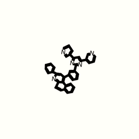 c1ccc(-c2cc(-c3cccc(-c4nc(-c5cccnc5)cc(-c5cccnc5)n4)c3)c3c(ccc4ccccc43)n2)cc1